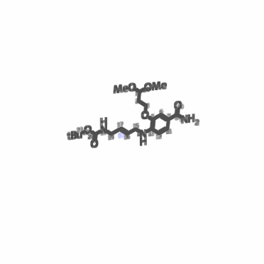 COC(CCOc1cc(C(N)=O)ccc1NC/C=C/CNC(=O)OC(C)(C)C)OC